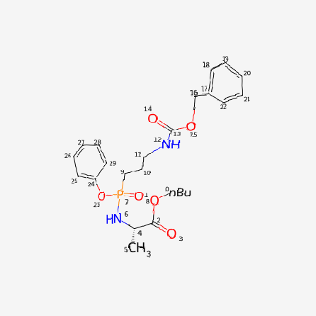 CCCCOC(=O)[C@H](C)NP(=O)(CCCNC(=O)OCc1ccccc1)Oc1ccccc1